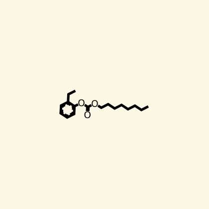 CCCCCCCCOC(=O)Oc1ccccc1CC